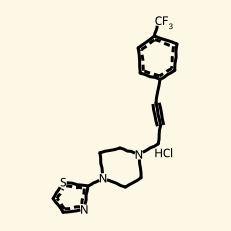 Cl.FC(F)(F)c1ccc(C#CCN2CCN(c3nccs3)CC2)cc1